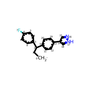 [CH2]CC(c1ccc(F)cc1)c1ccc(-c2cn[nH]c2)cc1